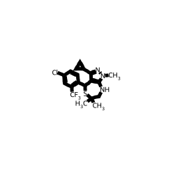 Cn1nc(C2CC2)c2c1NCC(C)(C)SC2c1ccc(Cl)cc1C(F)(F)F